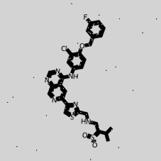 CC(C)C(CNCc1nc(-c2cc3c(Nc4ccc(OCc5cccc(F)c5)c(Cl)c4)ncnc3cn2)cs1)=S(=O)=O